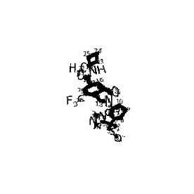 Cn1cnnc1C1(c2cccc(N3Cc4c(cc(C(=O)NC5(C)CCC5)cc4C(F)(F)F)C3=O)c2)C[S+]([O-])C1